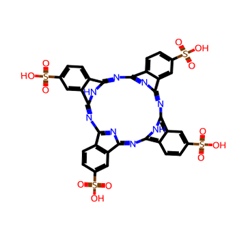 O=S(=O)(O)c1ccc2c(c1)-c1nc-2nc2[nH]c(nc3nc(nc4[nH]c(n1)c1ccc(S(=O)(=O)O)cc41)-c1cc(S(=O)(=O)O)ccc1-3)c1ccc(S(=O)(=O)O)cc21